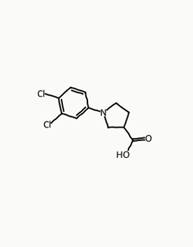 O=C(O)C1CCN(c2ccc(Cl)c(Cl)c2)C1